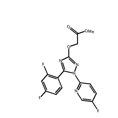 COC(=O)COc1nc(-c2ccc(F)cc2F)n(-c2ccc(F)cn2)n1